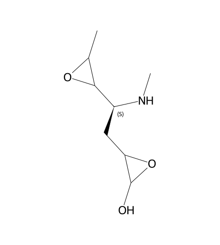 CN[C@@H](CC1OC1O)C1OC1C